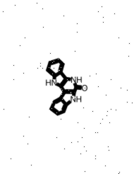 O=c1[nH]c2c3ccccc3[nH]c2c2c1[nH]c1ccccc12